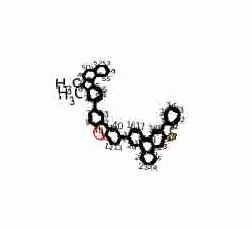 CC1(C)c2cc(-c3ccc4oc5ccc(-c6ccc7c(c6)c6ccccc6c6cc8sc9ccccc9c8cc76)cc5c4c3)ccc2-c2c1ccc1ccccc21